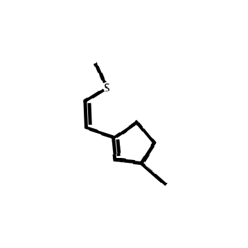 CS/C=C\C1=CC(C)CC1